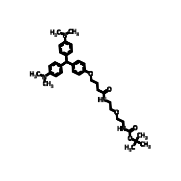 CN(C)c1ccc(C(c2ccc(OCCCC(=O)NCCOCCNC(=O)OC(C)(C)C)cc2)c2ccc(N(C)C)cc2)cc1